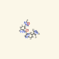 Cc1nc(-c2ccc(C)c(NC(=O)c3cnc4ccc(-c5c(C)nn(C)c5C)cn34)c2)no1